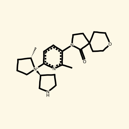 Cc1nc([N+]2([C@H]3CCNC3)CCC[C@@H]2C)ccc1N1CCC2(CCOCC2)C1=O